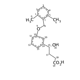 Cc1cccc(C)c1COc1cccc([C@H](O)CCC(=O)O)c1